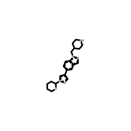 c1cc2c(cnn2CC2CCNCC2)cc1-c1cnn(C2CCCCO2)c1